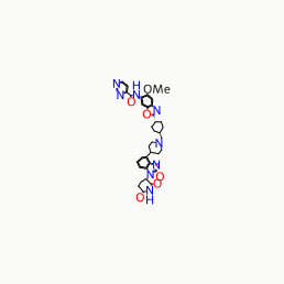 COc1cc2nc([C@H]3CC[C@H](CN4CCC(c5cccc6c5n(C)c(=O)n6C5CCC(=O)NC5=O)CC4)CC3)oc2cc1NC(=O)c1ccncn1